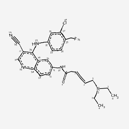 CCN(CC)C/C=C/C(=O)Nc1ccc2ncc(C#N)c(Nc3ccc(F)c(Cl)c3)c2c1